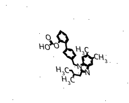 CCC(C)Cc1nc2cc(C)c(C)cc2n1Cc1ccc(-c2ccccc2OC(=O)O)cc1